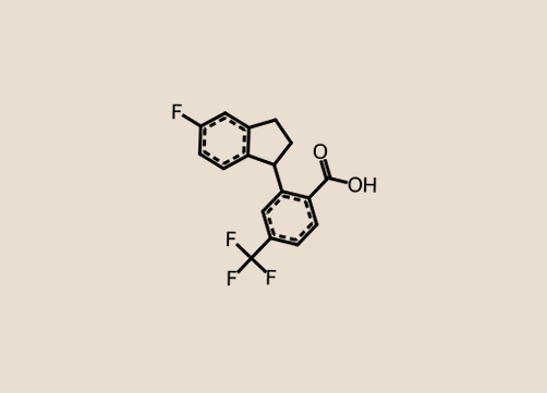 O=C(O)c1ccc(C(F)(F)F)cc1C1CCc2cc(F)ccc21